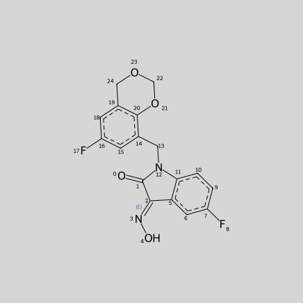 O=C1/C(=N/O)c2cc(F)ccc2N1Cc1cc(F)cc2c1OCOC2